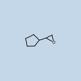 C1CC[C](C2CO2)C1